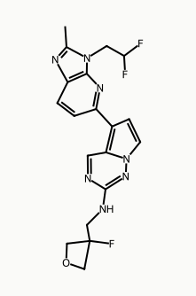 Cc1nc2ccc(-c3ccn4nc(NCC5(F)COC5)ncc34)nc2n1CC(F)F